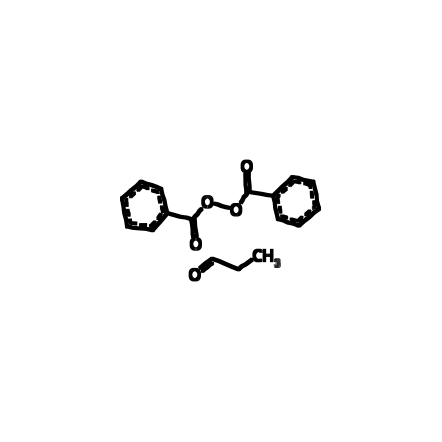 CCC=O.O=C(OOC(=O)c1ccccc1)c1ccccc1